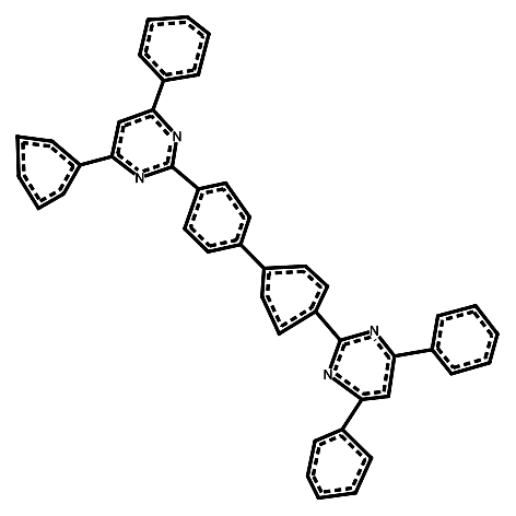 c1ccc(-c2cc(-c3ccccc3)nc(-c3ccc(-c4ccc(-c5nc(-c6ccccc6)cc(-c6ccccc6)n5)cc4)cc3)n2)cc1